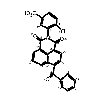 O=C(O)c1ccc(Cl)c(N2C(=O)c3cccc4c(C(=O)c5ccccc5)ccc(c34)C2=O)c1